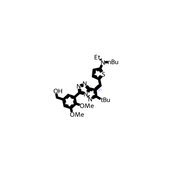 CCCCN(CC)c1ccc(/C=c2/c(C(C)(C)C)nn3c(-c4cc(CO)cc(OC)c4OC)nnc23)s1